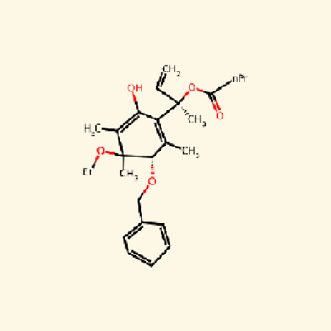 C=C[C@@](C)(OC(=O)CCC)C1=C(C)[C@H](OCc2ccccc2)C(C)(OCC)C(C)=C1O